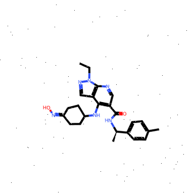 CCn1ncc2c(NC3CCC(=NO)CC3)c(C(=O)N[C@H](C)c3ccc(C)cc3)cnc21